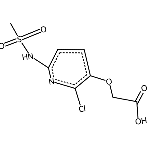 CS(=O)(=O)Nc1ccc(OCC(=O)O)c(Cl)n1